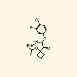 O=CNN(Oc1ccc(Cl)c(F)c1)C(=O)C1(OC(F)F)CCC1